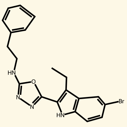 CCc1c(-c2nnc(NCCc3ccccc3)o2)[nH]c2ccc(Br)cc12